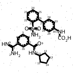 N=C(N)c1cccc(C(=O)NC2CCCC2)c1.NS(=O)(=O)c1ccccc1-c1ccc(NC(=O)O)cc1